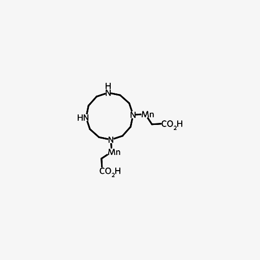 O=C(O)[CH2][Mn][N]1CCNCCNCC[N]([Mn][CH2]C(=O)O)CC1